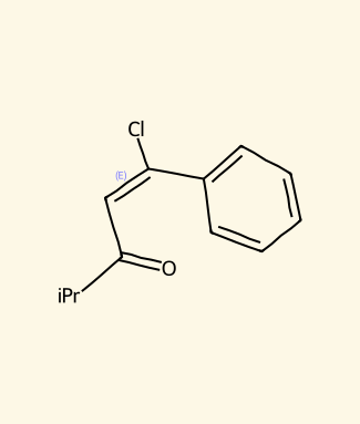 CC(C)C(=O)/C=C(/Cl)c1ccccc1